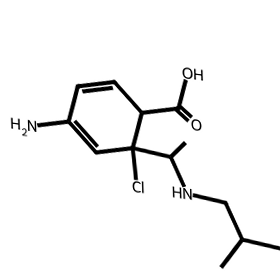 CC(C)CNC(C)C1(Cl)C=C(N)C=CC1C(=O)O